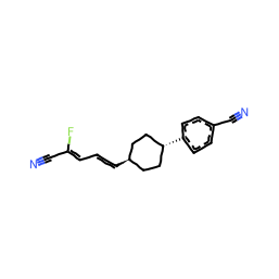 N#CC(F)=CC=C[C@H]1CC[C@H](c2ccc(C#N)cc2)CC1